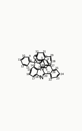 O=P(c1ccccc1)(c1ccccc1)c1cccc2nc3c4ccccc4c4ccc5ccccc5c4n3c12